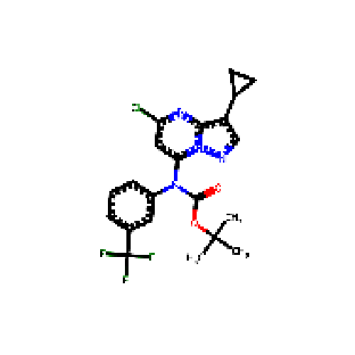 CC(C)(C)OC(=O)N(c1cccc(C(F)(F)F)c1)c1cc(Cl)nc2c(C3CC3)cnn12